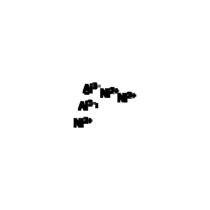 [Al-3].[Al-3].[Ni+2].[Ni+2].[Ni+2]